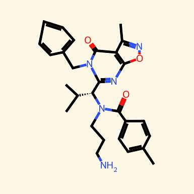 Cc1ccc(C(=O)N(CCCN)[C@@H](c2nc3onc(C)c3c(=O)n2Cc2ccccc2)C(C)C)cc1